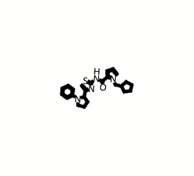 O=C(Nc1nc(C2CCCN2c2ccccc2)cs1)c1cccn1CC1CCCC1